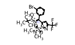 CN(C)S(=O)(=O)n1nc(C(F)(F)F)cc1/C(=N/[S+]([O-])C(C)(C)C)c1cccc(Br)c1